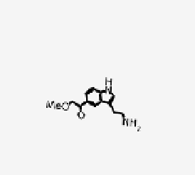 COCC(=O)c1ccc2[nH]cc(CCN)c2c1